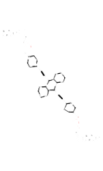 COCCOCc1ccc(C#Cc2c3ccccc3c(C#Cc3ccc(COCCOC)cc3)c3ccccc23)cc1